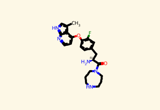 Cc1c[nH]c2nccc(Oc3ccc(C[C@H](N)C(=O)N4CCCNCCC4)cc3F)c12